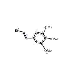 CC/C=C/c1cc(OC)c(OC)c(OC)c1